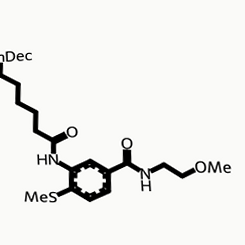 CCCCCCCCCCCCCCCC(=O)Nc1cc(C(=O)NCCOC)ccc1SC